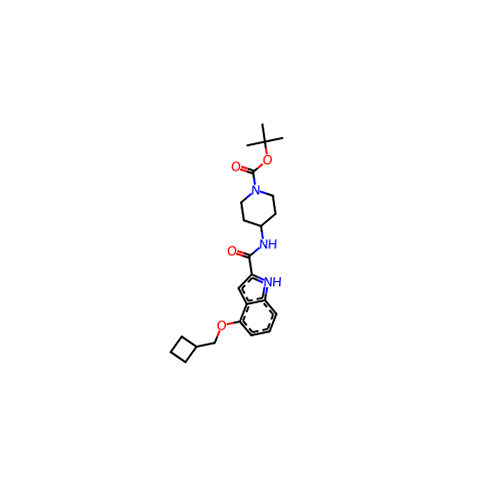 CC(C)(C)OC(=O)N1CCC(NC(=O)c2cc3c(OCC4CCC4)cccc3[nH]2)CC1